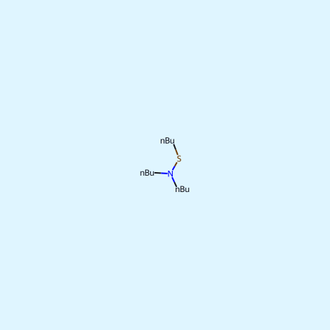 CCCCSN(CCCC)CCCC